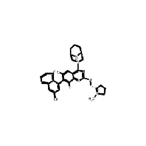 CN1CCC[C@H]1COc1nc(N2CC3CCCC(C2)N3)c2cc(Cl)c(-c3cc(O)cc4cccc(Cl)c34)c(F)c2n1